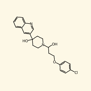 OC(CCOc1ccc(Cl)cc1)N1CCC(O)(c2cnc3ccccc3c2)CC1